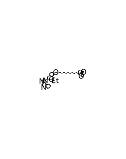 CCOC[C@H](Cc1ccc(OCCCCCCCCCCCOS(C)(=O)=O)cc1)n1cnc2cnc3ccccc3c21